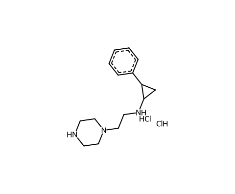 Cl.Cl.c1ccc(C2CC2NCCN2CCNCC2)cc1